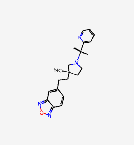 CC(C)(c1ccccn1)N1CC[C@](C#N)(CCc2ccc3nonc3c2)C1